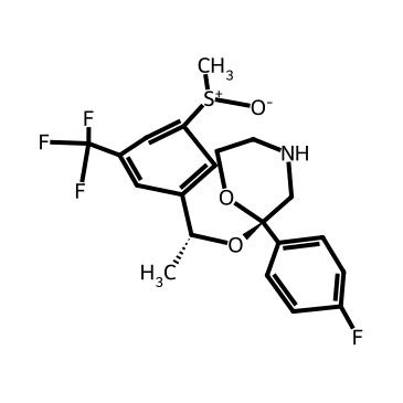 C[C@@H](O[C@]1(c2ccc(F)cc2)CNCCO1)c1cc([S+](C)[O-])cc(C(F)(F)F)c1